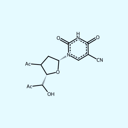 CC(=O)C(O)[C@H]1O[C@@H](n2cc(C#N)c(=O)[nH]c2=O)CC1C(C)=O